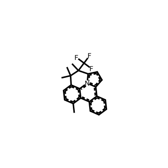 Cc1ccc2c3c1c1ccccc1c1ccc(n13)C(C)(C(F)(F)F)C2(C)C